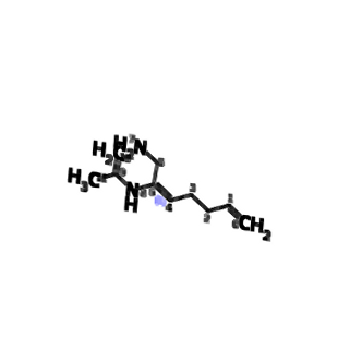 C=CCC/C=C(\CN)NC(=C)C